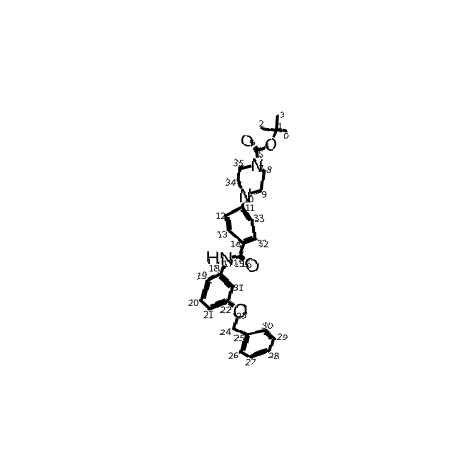 CC(C)(C)OC(=O)N1CCN(c2ccc(C(=O)Nc3cccc(OCc4ccccc4)c3)cc2)CC1